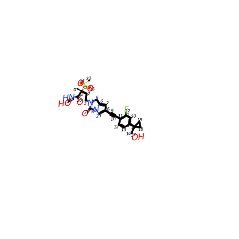 C[C@@](CCN1Cc2cc(C#Cc3ccc(C4(CO)CC4)cc3F)cn2C1=O)(C(=O)NO)S(C)(=O)=O